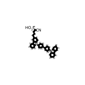 N#C/C(=C\C=C\c1ccc2c(c1)c1ccccc1n2-c1ccc(-c2ccc(-n3c4ccccc4c4ccccc43)cc2)cc1)C(=O)O